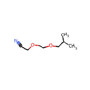 CC(C)COCOCC#N